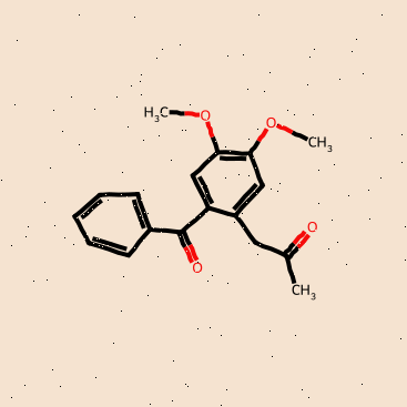 COc1cc(CC(C)=O)c(C(=O)c2ccccc2)cc1OC